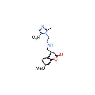 COc1ccc2c(CNCCn3c([N+](=O)[O-])cnc3C)cc(=O)oc2c1